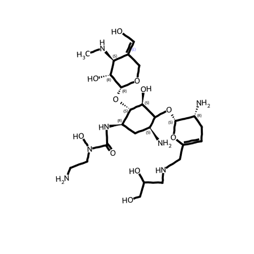 CN[C@H]1/C(=C\O)CO[C@H](O[C@H]2[C@H](NC(=O)N(O)CCN)C[C@H](N)C(O[C@H]3OC(CNCC(O)CO)=CC[C@H]3N)[C@@H]2O)[C@@H]1O